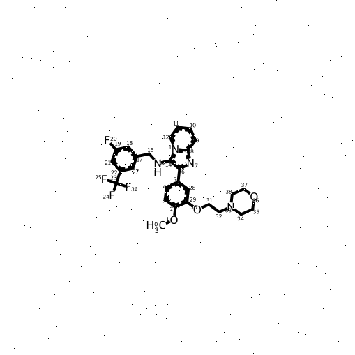 COc1ccc(-c2nc3ccccn3c2NCc2cc(F)cc(C(F)(F)F)c2)cc1OCCN1CCOCC1